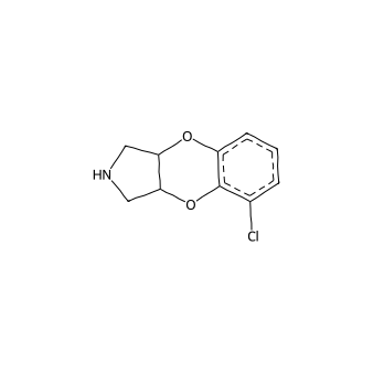 Clc1cccc2c1OC1CNCC1O2